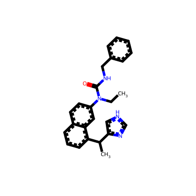 CCN(C(=O)NCc1ccccc1)c1ccc2cccc(C(C)c3c[nH]cn3)c2c1